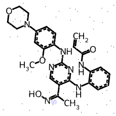 C=CC(=O)Nc1ccccc1Nc1nc(Nc2ccc(N3CCOCC3)cc2OC)ncc1/C(C)=N\O